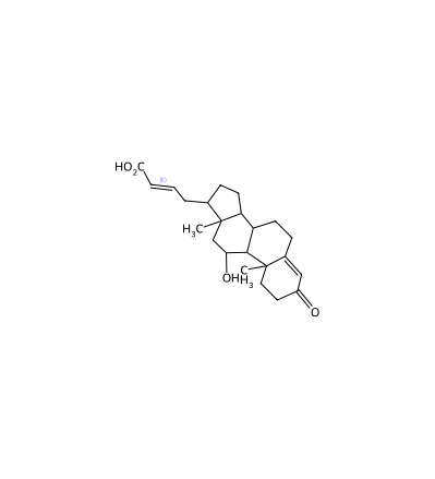 CC12CCC(=O)C=C1CCC1C2C(O)CC2(C)C(C/C=C/C(=O)O)CCC12